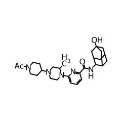 CC(=O)N1CCC(N2CCN(c3cccc(C(=O)NC4C5CC6CC4CC(O)(C6)C5)n3)C(C)C2)CC1